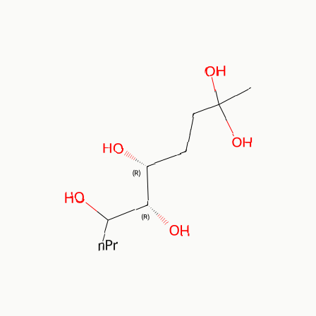 CCCC(O)[C@@H](O)[C@H](O)CCC(C)(O)O